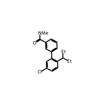 CCC(CC)c1ccc(Cl)cc1-c1cccc(C(=O)NC)c1